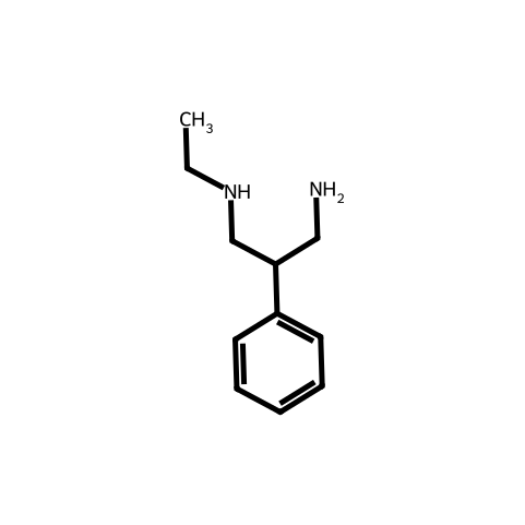 CCNCC(CN)c1ccccc1